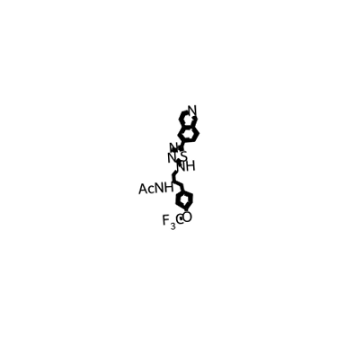 CC(=O)NC(CNc1nnc(-c2ccc3cnccc3c2)s1)Cc1ccc(OC(F)(F)F)cc1